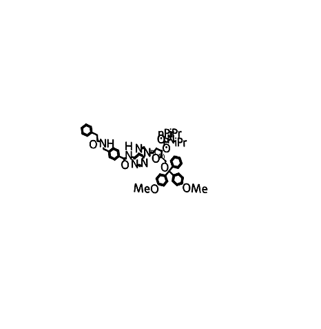 CCCOP(OC1C[C@H](n2cnc3c(NC(=O)c4ccc(CNC(=O)Cc5ccccc5)cc4)ncnc32)O[C@@H]1COC(c1ccccc1)(c1ccc(OC)cc1)c1ccc(OC)cc1)N(C(C)C)C(C)C